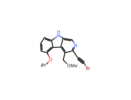 COCc1c(C#CBr)ncc2[nH]c3cccc(OC(C)C)c3c12